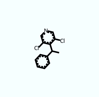 CC(c1ccccc1)c1c(Cl)cncc1Cl